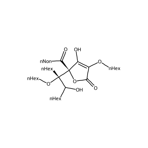 CCCCCCCCCC(=O)[C@]1([C@@](CCCCCC)(OCCCCCC)C(O)CCCCCC)OC(=O)C(OCCCCCC)=C1O